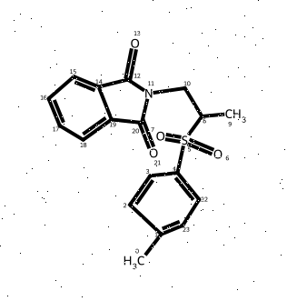 Cc1ccc(S(=O)(=O)C(C)CN2C(=O)c3ccccc3C2=O)cc1